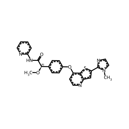 CO[C@@H](C(=O)Nc1ccccn1)c1ccc(Oc2ccnc3cc(-c4nccn4C)sc23)cc1